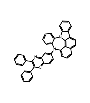 c1ccc(-c2nc3ccc(-n4c5cccc6ccc7c8ccccc8n(c8ccccc84)c7c65)cc3nc2-c2ccccc2)cc1